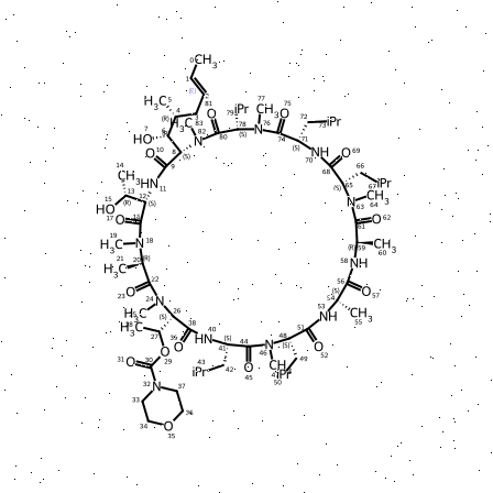 C/C=C/C[C@@H](C)[C@@H](O)[C@H]1C(=O)N[C@@H]([C@@H](C)O)C(=O)N(C)[C@H](C)C(=O)N(C)[C@@H](C(C)OC(=O)N2CCOCC2)C(=O)N[C@@H](CC(C)C)C(=O)N(C)[C@@H](CC(C)C)C(=O)N[C@@H](C)C(=O)N[C@H](C)C(=O)N(C)[C@@H](CC(C)C)C(=O)N[C@@H](CC(C)C)C(=O)N(C)[C@@H](C(C)C)C(=O)N1C